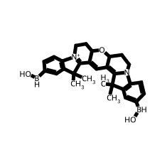 CC1(C)C2=C3C=C4C5=[N+](CCC4OC3CCN2c2ccc(BO)cc21)c1ccc(BO)cc1C5(C)C